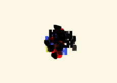 C=CC1C[C@]1(NC(=O)[C@@H]1C[C@@H](Oc2nccc(-c3cccs3)n2)CN1C(=O)[C@@H](NC(=O)CC1CC1)C(C)(C)C)C(=O)NS(=O)(=O)C1CC1